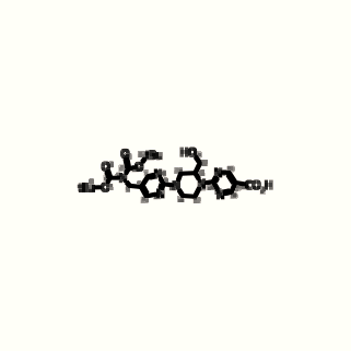 CC(C)(C)OC(=O)N(Cc1cnc(N2CCN(c3ncc(C(=O)O)cn3)C(CO)C2)nc1)C(=O)OC(C)(C)C